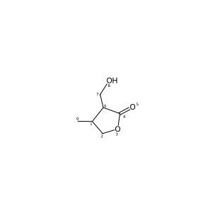 CC1COC(=O)C1CO